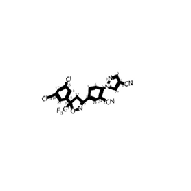 N#Cc1cnn(-c2ccc(C3=NOC(c4cc(Cl)cc(Cl)c4)(C(F)(F)F)C3)cc2C#N)c1